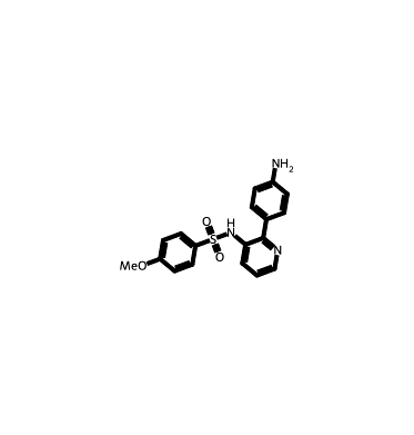 COc1ccc(S(=O)(=O)Nc2cccnc2-c2ccc(N)cc2)cc1